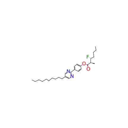 CCCCCCCCCCc1cnc(-c2ccc(OC(=O)[C@H](C)[C@H](F)CCCC)cc2)nc1